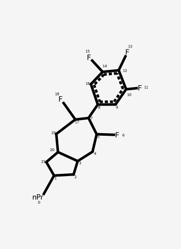 CCCC1CC2CC(F)C(c3cc(F)c(F)c(F)c3)C(F)CC2C1